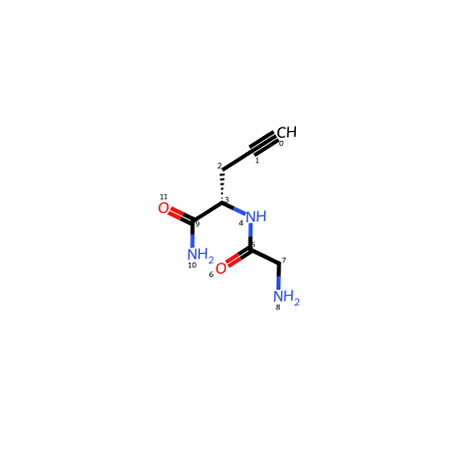 C#CC[C@H](NC(=O)CN)C(N)=O